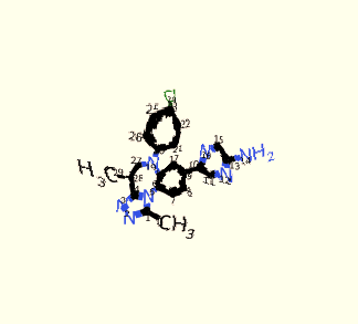 Cc1nnc2n1-c1ccc(-c3cnc(N)cn3)cc1N(c1ccc(Cl)cc1)C[C@@H]2C